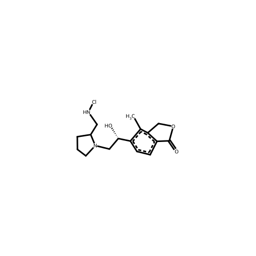 Cc1c([C@@H](O)CN2CCCC2CNCl)ccc2c1COC2=O